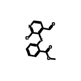 COC(=O)c1ccccc1Sc1c(C=O)ccnc1Cl